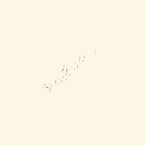 C=C(CC1CC(F)(F)C1)N1CCc2cc(-c3nccc(Nc4ccc(-c5cn[nH]c5)cc4)n3)ccc2C1